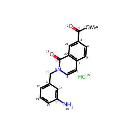 COC(=O)c1ccc2ccn(Cc3cccc(N)c3)c(=O)c2c1.Cl